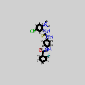 CN(C)c1ccc(Cl)cc1NC(=S)Nc1ccc(NC(=O)c2ccccc2F)cc1